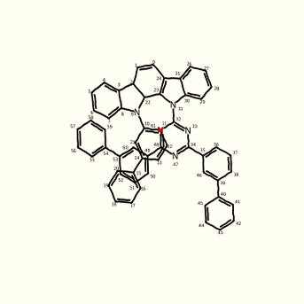 C1=CC2c3ccccc3N(c3cccc(-c4ccccc4)c3)C2c2c1c1ccccc1n2-c1nc(-c2cccc(-c3ccccc3)c2)nc(-c2cccc(-c3ccccc3)c2)n1